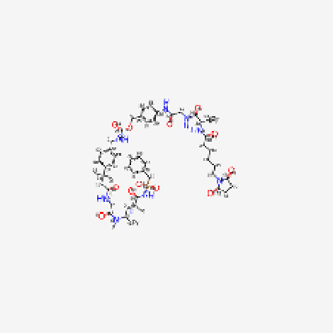 C/C(=C\C(C(C)C)N(C)C(=O)CNC(=O)CC(C)(C)c1ccc(CNC(=O)OCc2ccc(NC(=O)CNC(=O)C(NC(=O)CCCCCN3C(=O)CCC3=O)C(C)C)cc2)cc1)C(=O)NS(=O)(=O)Cc1ccccc1